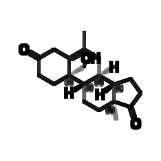 CC1=C2CC(=O)CC[C@]2(CO)[C@H]2CC[C@]3(C)C(=O)CC[C@H]3[C@@H]2C1